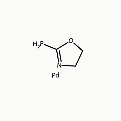 PC1=NCCO1.[Pd]